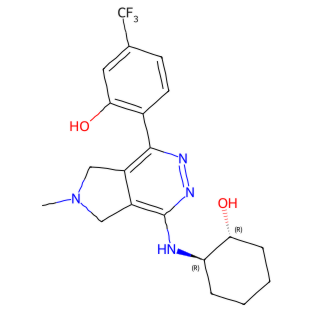 CN1Cc2c(N[C@@H]3CCCC[C@H]3O)nnc(-c3ccc(C(F)(F)F)cc3O)c2C1